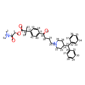 CN(C)C(=O)COC(=O)C(C)(C)c1ccc(C(=O)CCCN2CCC(C(c3ccccc3)c3ccccc3)CC2)cc1